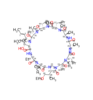 C/C=C/C[C@@H](C)[C@@H](O)[C@H]1C(=O)N[C@@H](CC)C(=O)N(C)[C@H](C)C(=O)N2CN(C(=O)[C@@H]2[C@H](C)COCC)[C@@H](C(C)C)C(=O)N(C)[C@@H](CC(C)C)C(=O)N[C@@H](C)C(=O)N[C@H](C)C(=O)N(C)[C@@H](CC(C)C)C(=O)N(C)[C@@H](CC(C)C)C(=O)N(C)[C@@H](C(C)C)C(=O)N1C